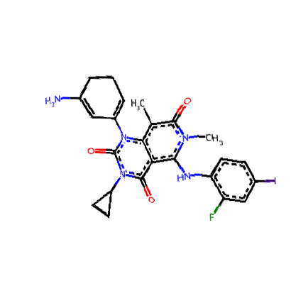 Cc1c(=O)n(C)c(Nc2ccc(I)cc2F)c2c(=O)n(C3CC3)c(=O)n(C3=CCCC(N)=C3)c12